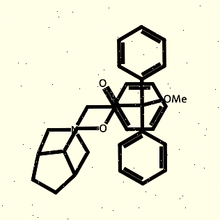 COC(C(=O)OCC1C2CCC1CN(Cc1ccccc1)C2)(c1ccccc1)c1ccccc1